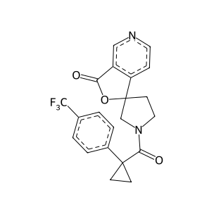 O=C1OC2(CCN(C(=O)C3(c4ccc(C(F)(F)F)cc4)CC3)C2)c2ccncc21